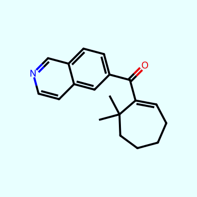 CC1(C)CCCCC=C1C(=O)c1ccc2cnccc2c1